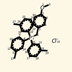 COc1ccc(C[P+](c2cccc(C)c2)(c2cccc(C)c2)c2cccc(C)c2)cc1.[Cl-]